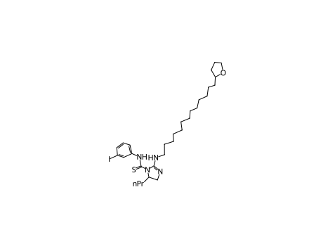 CCCC1CN=C(NCCCCCCCCCCCCCC2CCCO2)N1C(=S)Nc1cccc(I)c1